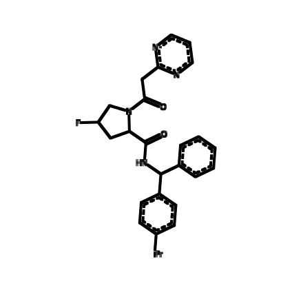 CC(C)c1ccc(C(NC(=O)C2CC(F)CN2C(=O)Cc2ncccn2)c2ccccc2)cc1